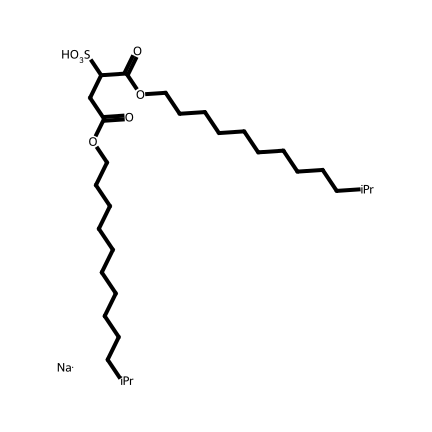 CC(C)CCCCCCCCCCOC(=O)CC(C(=O)OCCCCCCCCCCC(C)C)S(=O)(=O)O.[Na]